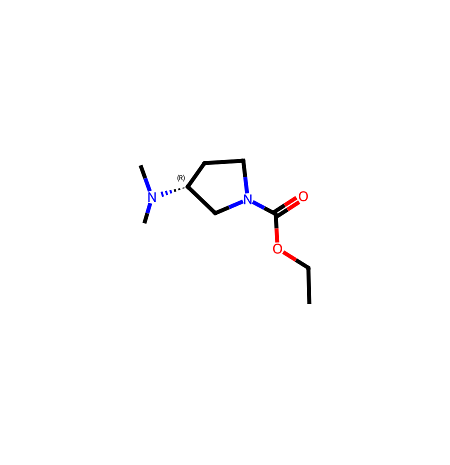 CCOC(=O)N1CC[C@@H](N(C)C)C1